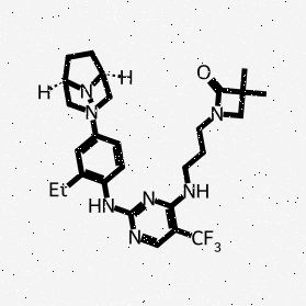 CCc1cc(N2C[C@H]3CC[C@@H](C2)N3C)ccc1Nc1ncc(C(F)(F)F)c(NCCCN2CC(C)(C)C2=O)n1